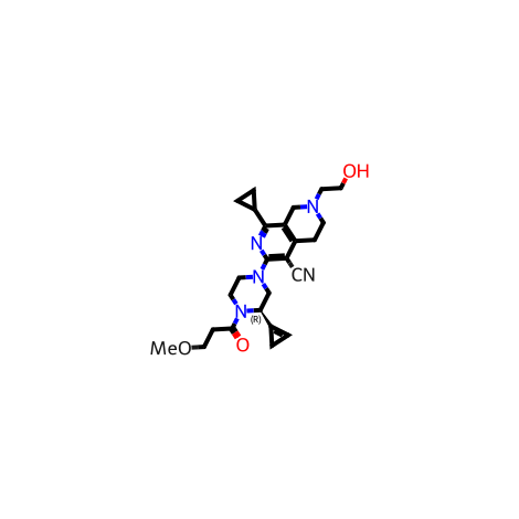 COCCC(=O)N1CCN(c2nc(C3CC3)c3c(c2C#N)CCN(CCO)C3)C[C@H]1C1=CC1